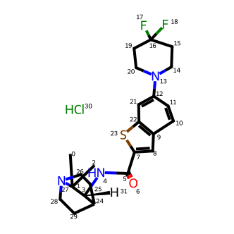 CC1(C)[C@H](NC(=O)c2cc3ccc(N4CCC(F)(F)CC4)cc3s2)C2CCN1CC2.Cl